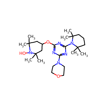 CC1(C)CC(Oc2nc(N3CCOCC3)nc(N3C(C)(C)CCCC3(C)C)n2)CC(C)(C)N1O